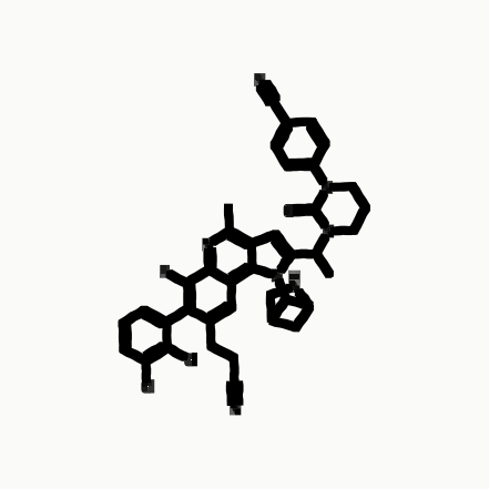 Cc1nc2c(F)c(-c3cccc(Cl)c3Cl)c(CCC#N)cc2c2c1cc(C(C)N1CCCN(c3ccc(C#N)cc3)C1=O)n2C1C2CNC1C2